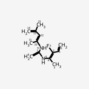 C=C/C(F)=C(\C)NC(=C)N/C(C)=C/C(=C)C